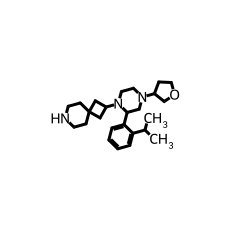 CC(C)c1ccccc1C1CN(C2CCOC2)CCN1C1CC2(CCNCC2)C1